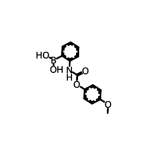 COc1ccc(OC(=O)Nc2ccccc2B(O)O)cc1